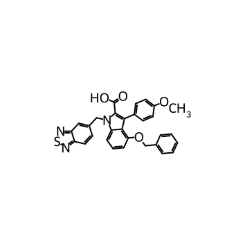 COc1ccc(-c2c(C(=O)O)n(Cc3ccc4nsnc4c3)c3cccc(OCc4ccccc4)c23)cc1